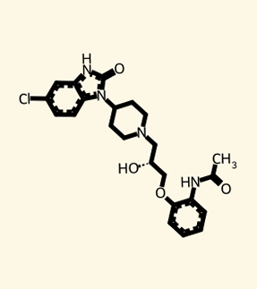 CC(=O)Nc1ccccc1OC[C@H](O)CN1CCC(n2c(=O)[nH]c3cc(Cl)ccc32)CC1